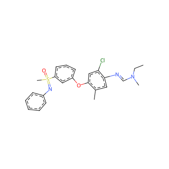 CCN(C)C=Nc1cc(C)c(Oc2cccc(S(C)(=O)=Nc3ccccc3)c2)cc1Cl